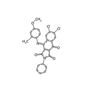 COc1ccc(/N=c2/c3c(=O)n(-c4ccccc4)c(=O)c=3c(=O)c3cc(Cl)c(Cl)cc23)c(C)c1